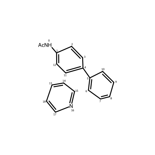 CC(=O)Nc1ccc(-c2ccccc2)cc1.c1ccncc1